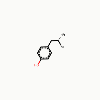 CCC[C@@H](Cc1ccc(O)cc1)C(C)=O